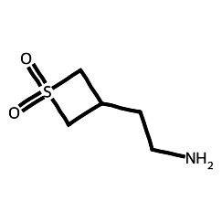 NCCC1CS(=O)(=O)C1